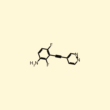 Nc1ccc(F)c(C#Cc2ccnnc2)c1F